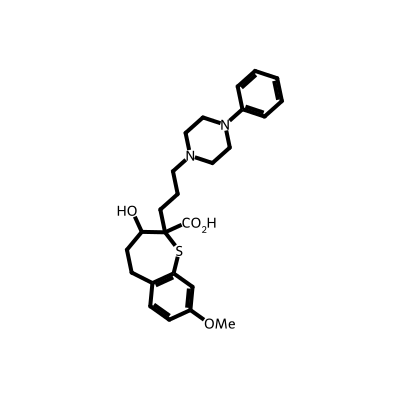 COc1ccc2c(c1)SC(CCCN1CCN(c3ccccc3)CC1)(C(=O)O)C(O)CC2